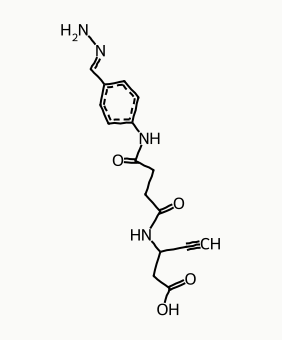 C#CC(CC(=O)O)NC(=O)CCC(=O)Nc1ccc(C=NN)cc1